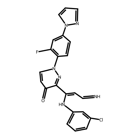 N=C/C=C(\Nc1cccc(Cl)c1)c1nn(-c2ccc(-n3cccn3)cc2F)ccc1=O